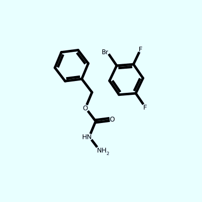 Fc1ccc(Br)c(F)c1.NNC(=O)OCc1ccccc1